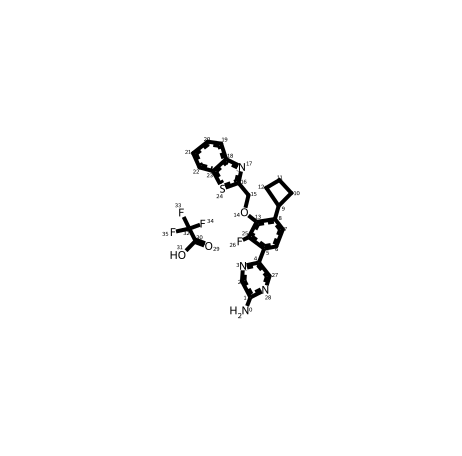 Nc1cnc(-c2ccc(C3CCC3)c(OCc3nc4ccccc4s3)c2F)cn1.O=C(O)C(F)(F)F